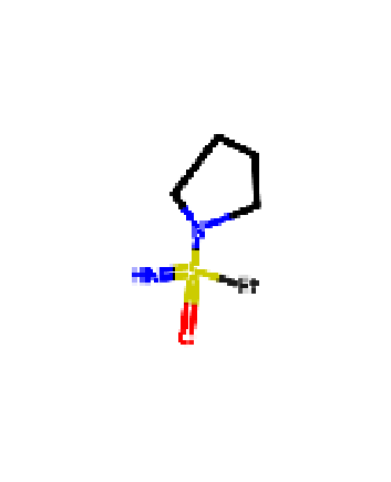 CCS(=N)(=O)N1CCCC1